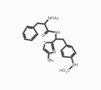 CC(=O)NC(Cc1ccccc1)C(=O)NC(Cc1ccc(NS(=O)(=O)O)cc1)c1nc(C(C)(C)C)cs1